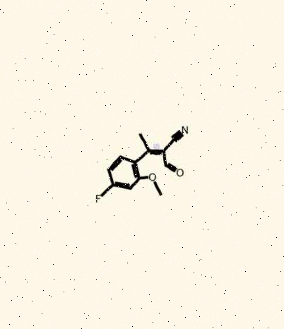 COc1cc(F)ccc1/C(C)=C(/C#N)C=O